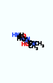 Cc1c(O)c(-c2ncc3c(=O)n([C@H]4[C@@H]5CNC[C@@H]54)ccc3n2)cc2cn(C)nc12